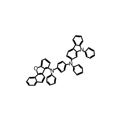 c1ccc(N(c2ccc(N(c3ccccc3)c3cccc4oc5c6ccccc6ccc5c34)cc2)c2ccc3c4ccccc4n(-c4ccccc4)c3c2)cc1